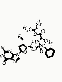 CC(C)OC(=O)[C@@H](C)NP(=O)(OC[C@H]1O[C@@H](n2cnc3c(=O)[nH]c(N)nc32)C[C@@H]1CF)Oc1ccccc1